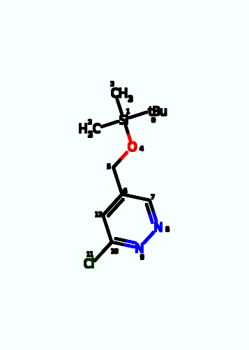 CC(C)(C)[Si](C)(C)OCc1cnnc(Cl)c1